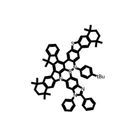 CC(C)(C)c1ccc(N2B3c4cc5nc(-c6ccccc6)n(-c6ccccc6)c5cc4-n4c5cc6c(cc5c5c7c(c(c3c54)-c3cc4sc5cc8c(cc5c4cc32)C(C)(C)CCC8(C)C)-c2ccccc2C7(C)C)C(C)(C)CCC6(C)C)cc1